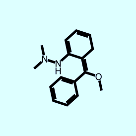 COC(=C1CC=CC=C1NN(C)C)c1ccccc1